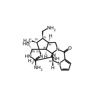 C[C@H]1[C@@H](CN)[C@H]2CN3C(=O)c4cccn4[C@H]4NC(N)=NC43[C@H]2[C@@]12N=C(N)N[C@@H]2O